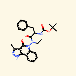 CCN(C(=O)C(Cc1ccccc1)NC(=O)OC(C)(C)C)n1c(=O)c2c(C)n[nH]c2c2ccccc21